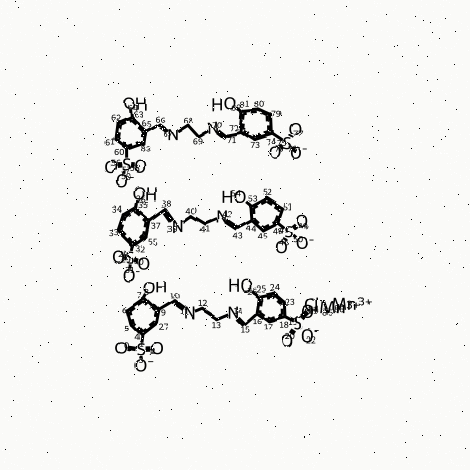 O=S(=O)([O-])c1ccc(O)c(C=NCCN=Cc2cc(S(=O)(=O)[O-])ccc2O)c1.O=S(=O)([O-])c1ccc(O)c(C=NCCN=Cc2cc(S(=O)(=O)[O-])ccc2O)c1.O=S(=O)([O-])c1ccc(O)c(C=NCCN=Cc2cc(S(=O)(=O)[O-])ccc2O)c1.[Cl-].[Mn+3].[Mn+3]